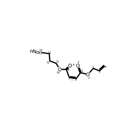 C=CCOC(=O)/C=C\C(=O)OCCCCCCCCCCCC